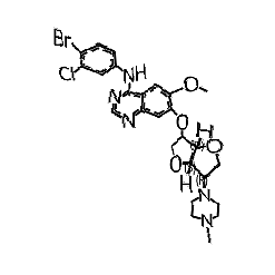 COc1cc2c(Nc3ccc(Br)c(Cl)c3)ncnc2cc1OC1CO[C@H]2[C@H](N3CCN(C)CC3)CO[C@@H]12